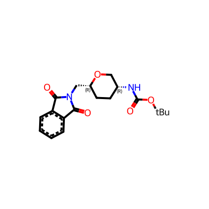 CC(C)(C)OC(=O)N[C@@H]1CC[C@H](CN2C(=O)c3ccccc3C2=O)OC1